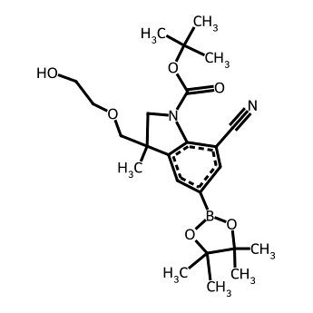 CC(C)(C)OC(=O)N1CC(C)(COCCO)c2cc(B3OC(C)(C)C(C)(C)O3)cc(C#N)c21